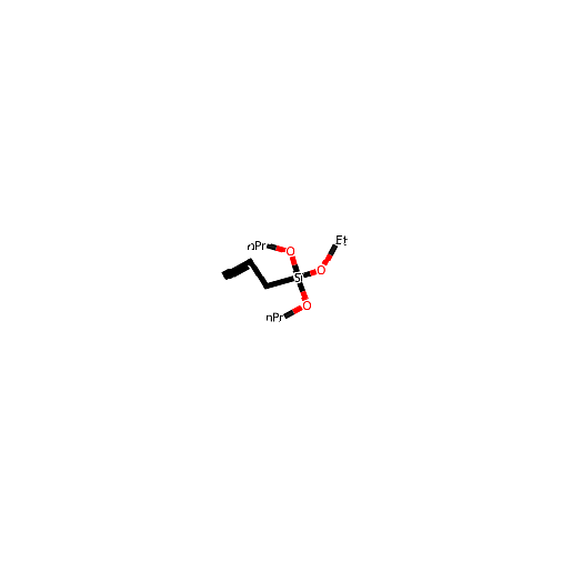 C=CC[Si](OCC)(OCCC)OCCC